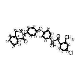 Cc1cc(Cl)ccc1C(=O)N(C)c1ccc(Oc2ccc(N3OCc4ccccc4C3=O)cc2)cc1